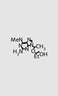 CCC(CO)OC(C)n1cnc2c(NC)nc(N)nc21